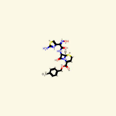 Nc1nc(/C(=N/O)C(=O)NC2C(=O)N3C(C(=O)OCc4ccc([N+](=O)[O-])cc4)=CCS[C@H]23)cs1